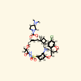 CN(C)[C@@H]1CCN(C(=O)O[C@H]2/C=C/COC(C)(C)C(=O)NS(=O)(=O)c3ccc4c(c3)N(C[C@@H]3CC[C@H]32)C[C@@]2(CCOc3cc(Cl)ccc32)CO4)C1